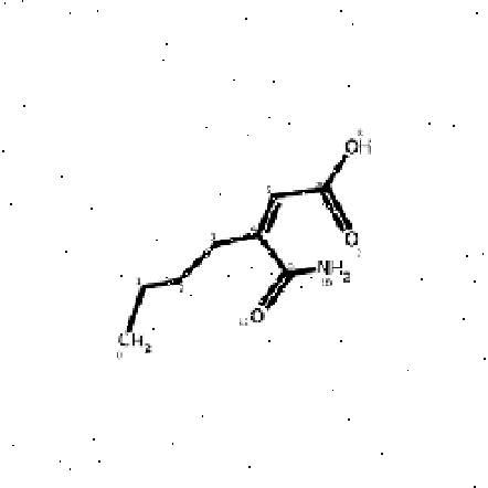 CCCCC(=CC(=O)O)C(N)=O